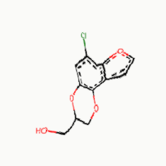 OCC1COc2c(cc(Cl)c3occc23)O1